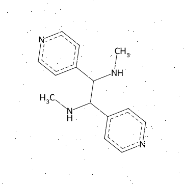 CNC(c1ccncc1)C(NC)c1ccncc1